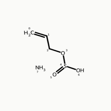 C=CCOS(=O)O.N